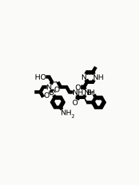 CC1=CN=C(C(=O)N[C@@H](Cc2ccccc2Br)C(=O)NCCCC[C@@H](CO)N(CC(C)C)S(=O)(=O)c2ccc(N)cc2)CN1